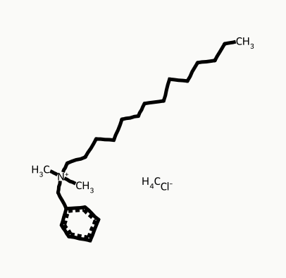 C.CCCCCCCCCCCCCC[N+](C)(C)Cc1ccccc1.[Cl-]